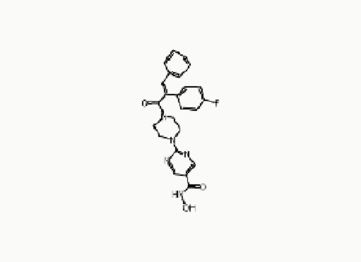 O=C(NO)c1cnc(N2CCN(C(=O)/C(=C/c3ccccc3)c3ccc(F)cc3)CC2)nc1